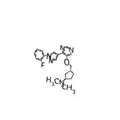 CN(C)[C@@H]1CC[C@H](COc2cncnc2-c2cnn(-c3ccccc3F)c2)C1